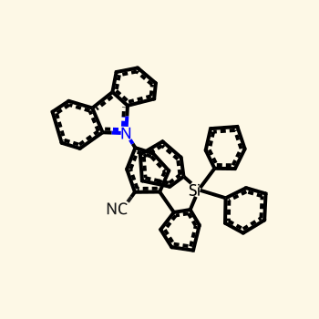 N#Cc1cc(-n2c3ccccc3c3ccccc32)ccc1-c1ccccc1[Si](c1ccccc1)(c1ccccc1)c1ccccc1